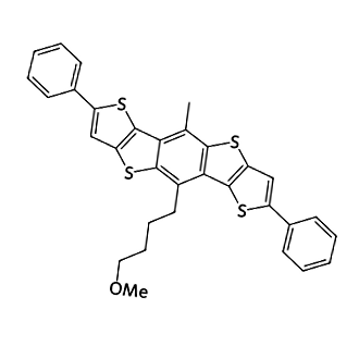 COCCCCc1c2sc3cc(-c4ccccc4)sc3c2c(C)c2sc3cc(-c4ccccc4)sc3c12